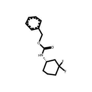 O=C(N[C@H]1CCCC(F)(F)C1)OCc1ccccc1